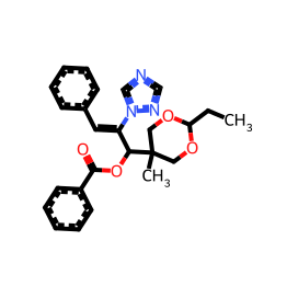 CCC1OCC(C)(C(OC(=O)c2ccccc2)C(=Cc2ccccc2)n2cncn2)CO1